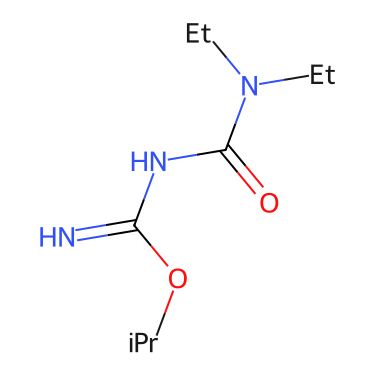 CCN(CC)C(=O)NC(=N)OC(C)C